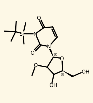 COC1C(O)[C@H](CO)O[C@@H]1n1ccc(=O)n([Si](C)(C)C(C)(C)C)c1=O